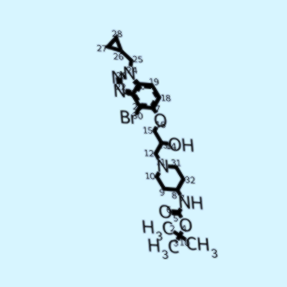 CC(C)(C)OC(=O)NC1CCN(CC(O)COc2ccc3c(nnn3CC3CC3)c2Br)CC1